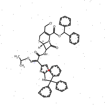 CC(C)O/N=C(\C(=O)NC1C(=O)N2C(C(=O)OC(c3ccccc3)c3ccccc3)=C(CCl)CS[C@@H]12)c1csc(NC(c2ccccc2)(c2ccccc2)c2ccccc2)n1